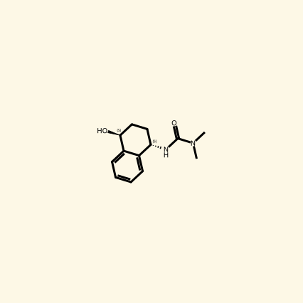 CN(C)C(=O)N[C@H]1CC[C@H](O)c2ccccc21